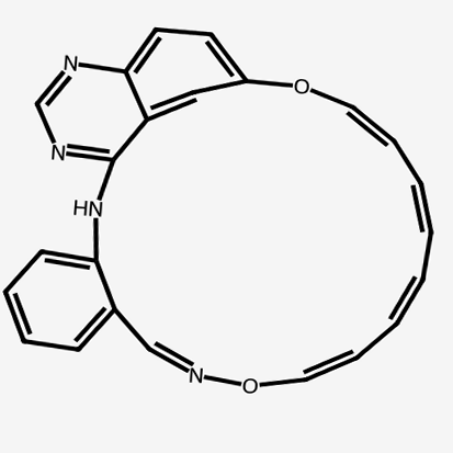 c1ccccoc2ccc3ncnc([nH]c4ccccc4cnoccc1)c3c2